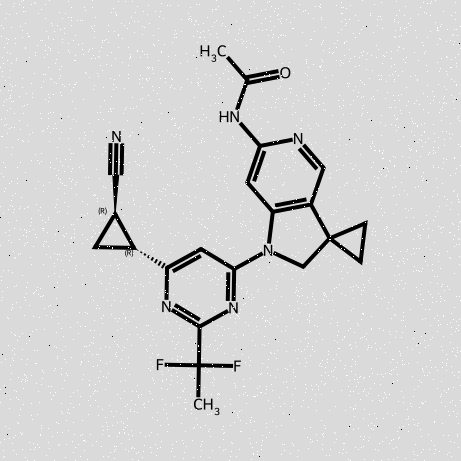 CC(=O)Nc1cc2c(cn1)C1(CC1)CN2c1cc([C@@H]2C[C@H]2C#N)nc(C(C)(F)F)n1